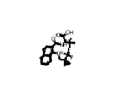 CC(C)(C)[C@H](NC(=O)c1ccc2ccccc2c1OCC1(C(F)(F)F)CC1)C(=O)O